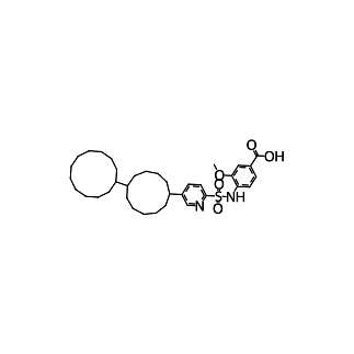 COc1cc(C(=O)O)ccc1NS(=O)(=O)c1ccc(C2CCCCCC(C3CCCCCCCCCCC3)CCCC2)cn1